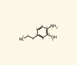 N#CCCc1ccc(N)c(O)c1